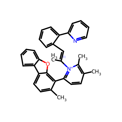 C/C(=C\c1ccccc1-c1ccccn1)[n+]1c(-c2c(C)ccc3c2oc2ccccc23)ccc(C)c1C